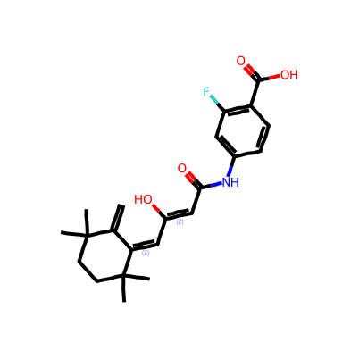 C=C1/C(=C\C(O)=C\C(=O)Nc2ccc(C(=O)O)c(F)c2)C(C)(C)CCC1(C)C